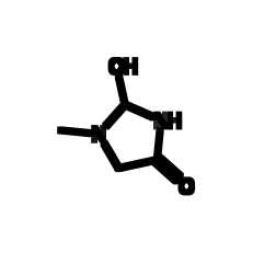 CN1CC(=O)NC1O